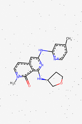 Cc1ccnc(Nc2cc3ccn(C)c(=O)c3c(N[C@H]3CCOC3)n2)c1